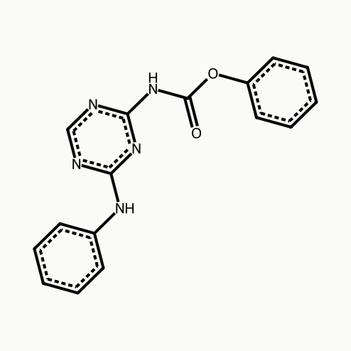 O=C(Nc1ncnc(Nc2ccccc2)n1)Oc1ccccc1